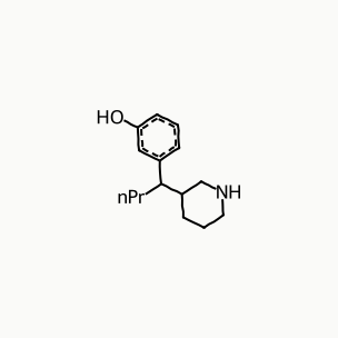 CCCC(c1cccc(O)c1)C1CCCNC1